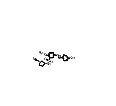 COc1ccc(NCc2ccc(O)cc2)cc1S(=O)(=O)N[C@@H]1CCN(C#N)C1